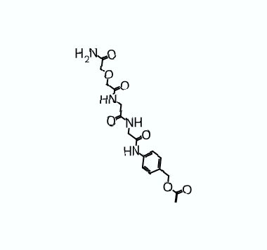 CC(=O)OCc1ccc(NC(=O)CNC(=O)CNC(=O)COCC(N)=O)cc1